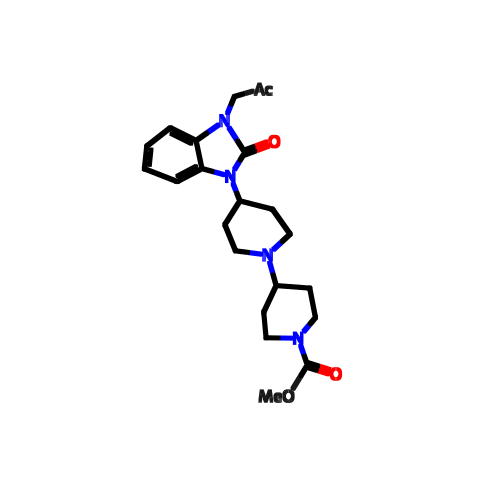 COC(=O)N1CCC(N2CCC(n3c(=O)n(CC(C)=O)c4ccccc43)CC2)CC1